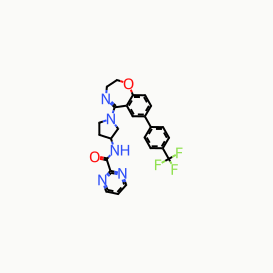 O=C(NC1CCN(C2=NCCOc3ccc(-c4ccc(C(F)(F)F)cc4)cc32)C1)c1ncccn1